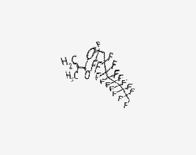 C=C(C)C(=O)OC(F)(F)CC(F)(F)C(F)(F)C(F)(F)C(F)(F)C(F)(F)C(F)(F)C(F)(F)CF